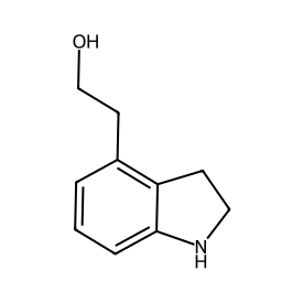 OCCc1cccc2c1CCN2